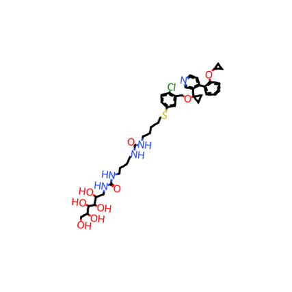 O=C(NCCCCCSc1ccc(Cl)c(COC2(c3cnccc3-c3ccccc3OC3CC3)CC2)c1)NCCCCNC(=O)NCC(O)C(O)C(O)C(O)CO